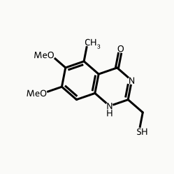 COc1cc2[nH]c(CS)nc(=O)c2c(C)c1OC